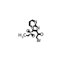 CCS(=O)(=O)c1c(C(=O)CBr)nc2ncccn12